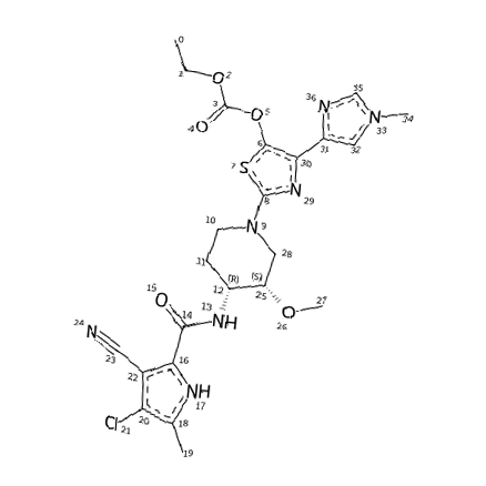 CCOC(=O)Oc1sc(N2CC[C@@H](NC(=O)c3[nH]c(C)c(Cl)c3C#N)[C@@H](OC)C2)nc1-c1cn(C)cn1